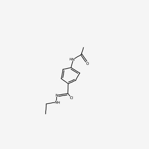 CCNN=C(Cl)c1ccc(NC(C)=O)cc1